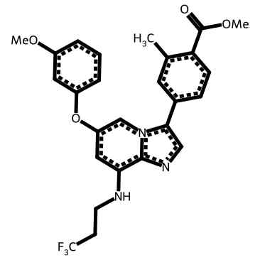 COC(=O)c1ccc(-c2cnc3c(NCCC(F)(F)F)cc(Oc4cccc(OC)c4)cn23)cc1C